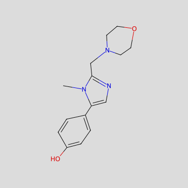 Cn1c(-c2ccc(O)cc2)cnc1CN1CCOCC1